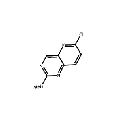 CNc1ncc2nc(Cl)ccc2n1